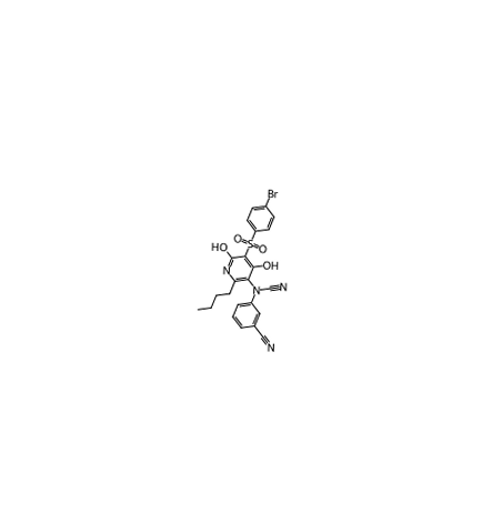 CCCCc1nc(O)c(S(=O)(=O)c2ccc(Br)cc2)c(O)c1N(C#N)c1cccc(C#N)c1